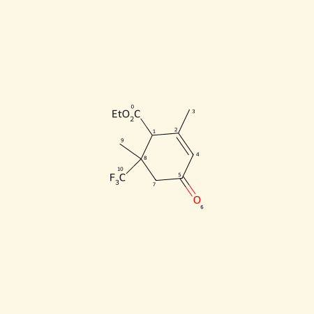 CCOC(=O)C1C(C)=CC(=O)CC1(C)C(F)(F)F